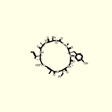 C/C=C(\C)[C@H]1NC(=O)[C@@H](C)NC(=O)C(C(C)CC)NC(=O)CN(C)C(=O)[C@@H](Cc2ccc(O)cc2)N(C)C(=O)[C@H](C)NC(=O)[C@@H](CC(C)C)OC(=O)/C(C)=C/C[C@H](O)[C@@H]1C